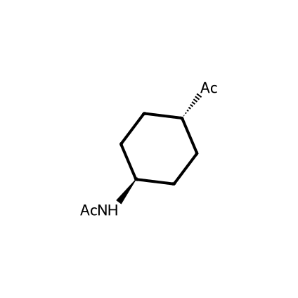 CC(=O)N[C@H]1CC[C@H](C(C)=O)CC1